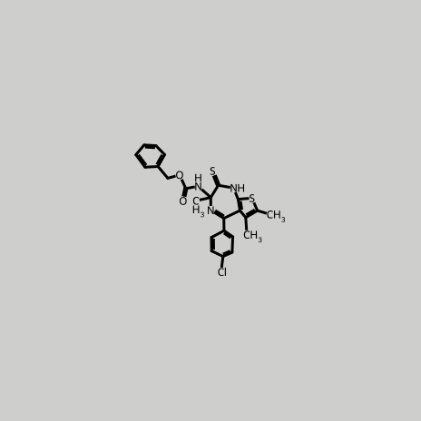 Cc1sc2c(c1C)C(c1ccc(Cl)cc1)=NC(C)(NC(=O)OCc1ccccc1)C(=S)N2